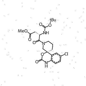 COC(=O)C[C@H](NC(=O)OC(C)(C)C)C(=O)N1CCC[C@@]2(C1)OC(=O)Nc1ccc(Cl)cc12